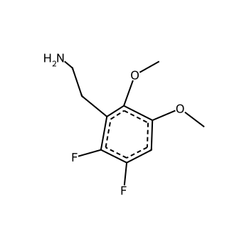 COc1cc(F)c(F)c(CCN)c1OC